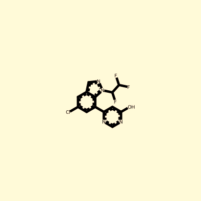 Oc1cc(-c2cc(Cl)cc3cnn(C(F)C(F)F)c23)ncn1